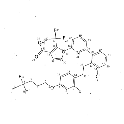 Cc1cc(OCCCC(F)(F)F)ccc1CCc1c(Cl)cccc1-c1cccc(-n2ncc(C(=O)O)c2C(F)(F)F)n1